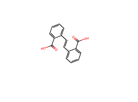 O=C(O)c1ccccc1C=Cc1ccccc1C(=O)O